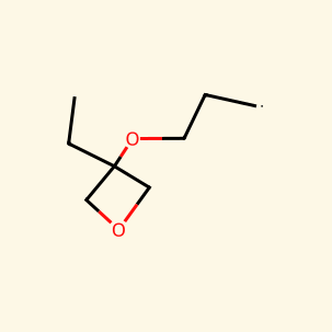 [CH2]CCOC1(CC)COC1